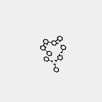 c1ccc(-c2nc(-c3ccccc3)nc(-c3ccc4nc(-c5cccc(-n6c7ccccc7c7cc(-c8cccc9c8oc8c(-c%10ccccc%10)cccc89)ccc76)c5)sc4c3)n2)cc1